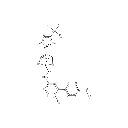 CCOc1ccc(-c2cc(NCC34CCC(c5noc(C(C)(F)F)n5)=C(C3)C4)ccc2F)cc1